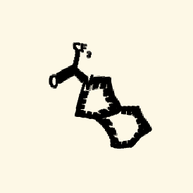 O=C(n1cc2ccccc2c1)C(F)(F)F